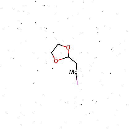 [I][Mg][CH2]C1OCCO1